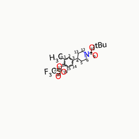 Cc1cc(C2CCN(C(=O)OC(C)(C)C)CC2)ccc1OS(=O)(=O)C(F)(F)F